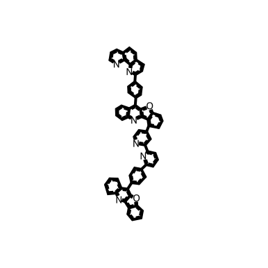 c1cc(-c2ccc(-c3c4ccccc4nc4c3oc3ccccc34)cc2)nc(-c2cc(-c3cccc4oc5c(-c6ccc(-c7ccc8ccc9cccnc9c8n7)cc6)c6ccccc6nc5c34)ccn2)c1